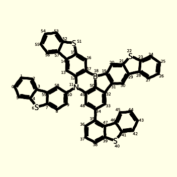 c1ccc2c(c1)sc1ccc(N3c4cc5c(cc4B4c6cc7sc8ccccc8c7cc6-c6cc(-c7cccc8sc9ccccc9c78)cc3c64)sc3ccccc35)cc12